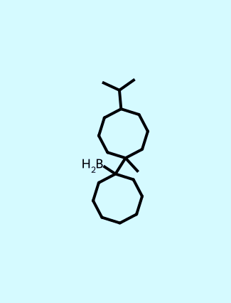 BC1(C2(C)CCCC(C(C)C)CCC2)CCCCCCC1